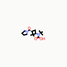 CC1(C)[C@@H](C(=O)N2CCCC2)C[C@H]1N(C(=O)O)C(C)(C)C